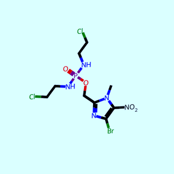 Cn1c(COP(=O)(NCCCl)NCCCl)nc(Br)c1[N+](=O)[O-]